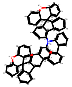 c1ccc(-c2ccccc2N(c2ccc3cc4c(cc3c2)C2(c3ccccc3Oc3ccccc32)c2ccccc2-4)c2cccc3c2-c2ccccc2C32c3ccccc3Oc3ccccc32)cc1